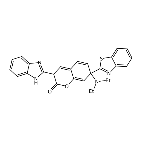 CCN(CC)C1(c2nc3ccccc3s2)C=CC2=CC(c3nc4ccccc4[nH]3)C(=O)OC2=C1